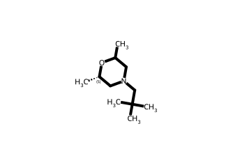 CC1CN(CC(C)(C)C)C[C@H](C)O1